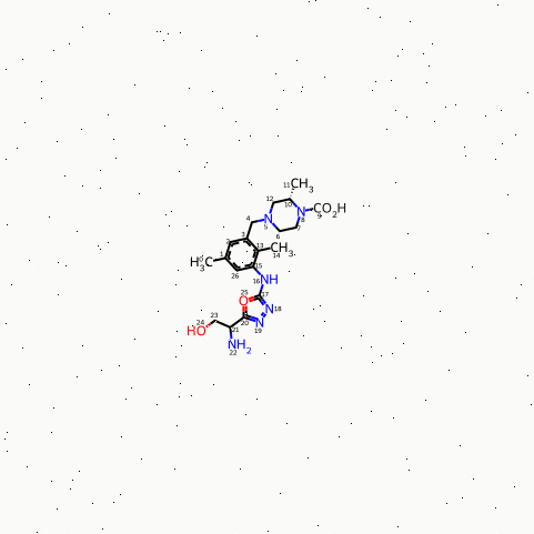 Cc1cc(CN2CCN(C(=O)O)[C@@H](C)C2)c(C)c(Nc2nnc(C(N)CO)o2)c1